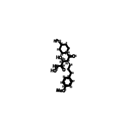 CCCC1CCN(C(=O)[C@H](CCCc2ccc(OC)cc2)[C@H](O)C(=O)NO)CC1